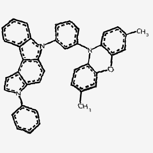 Cc1ccc2c(c1)Oc1cc(C)ccc1N2c1cccc(-n2c3ccccc3c3c4ccn(-c5ccccc5)c4ccc32)c1